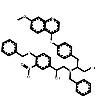 COc1ccc2c(Oc3ccc(C[C@@H](CO)N(Cc4ccccc4)C[C@@H](O)c4ccc(OCc5ccccc5)c([N+](=O)[O-])c4)cc3)ccnc2c1